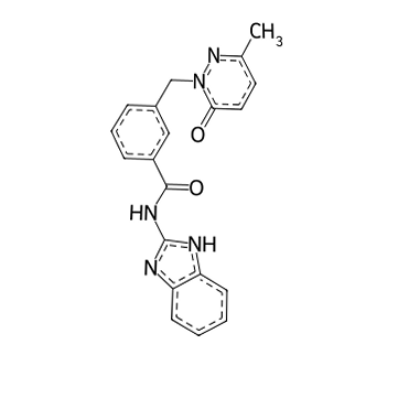 Cc1ccc(=O)n(Cc2cccc(C(=O)Nc3nc4ccccc4[nH]3)c2)n1